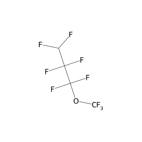 FC(F)C(F)(F)C(F)(F)OC(F)(F)F